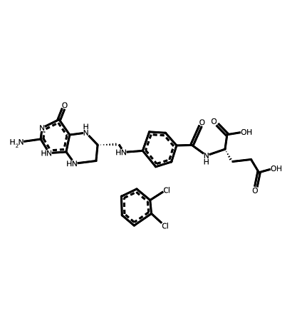 Clc1ccccc1Cl.Nc1nc(=O)c2c([nH]1)NC[C@@H](CNc1ccc(C(=O)N[C@@H](CCC(=O)O)C(=O)O)cc1)N2